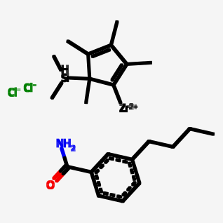 CC1=C(C)C(C)([SiH](C)C)[C]([Zr+2])=C1C.CCCCc1cccc(C(N)=O)c1.[Cl-].[Cl-]